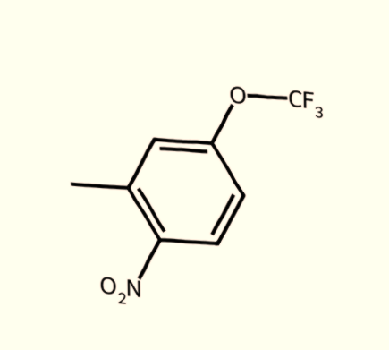 Cc1cc(OC(F)(F)F)ccc1[N+](=O)[O-]